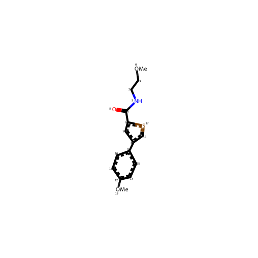 COCCNC(=O)c1cc(-c2ccc(OC)cc2)cs1